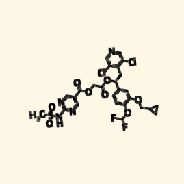 CS(=O)(=O)Nc1ncc(C(=O)OCC(=O)O[C@@H](Cc2c(Cl)cncc2Cl)c2ccc(OC(F)F)c(OCC3CC3)c2)cn1